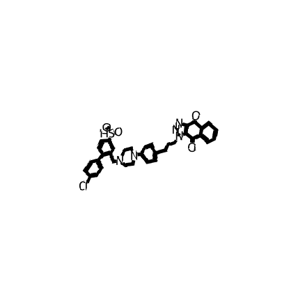 O=C1C2=CC=CCC2C(=O)c2nnn(CCCc3ccc(N4CCN(Cc5cc([SH](=O)=O)ccc5-c5ccc(Cl)cc5)CC4)cc3)c21